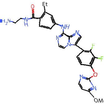 CCc1cc(Nc2nccn3c(-c4ccc(Oc5nccc(OC)n5)c(F)c4F)cnc23)ccc1C(=O)NCCN